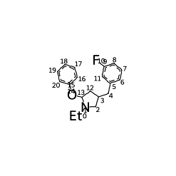 CCN1CC(Cc2cccc(F)c2)CC1Oc1ccccc1